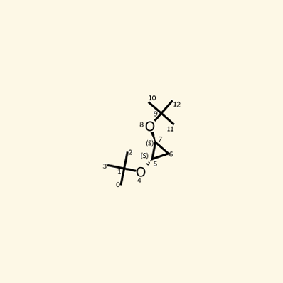 CC(C)(C)O[C@H]1C[C@@H]1OC(C)(C)C